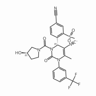 [C-]#[N+]C1=C(C)N(c2cccc(C(F)(F)F)c2)C(=O)N(C(=O)N2CC[C@@H](O)C2)[C@@H]1c1ccc(C#N)cc1S(C)(=O)=O